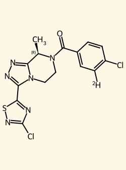 [2H]c1cc(C(=O)N2CCn3c(-c4nc(Cl)ns4)nnc3[C@H]2C)ccc1Cl